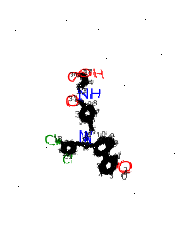 COc1cccc(-c2cccc(-c3cc(-c4cc(Cl)cc(Cl)c4)nn3Cc3ccc(C(=O)NCCC(=O)O)cc3)c2)c1